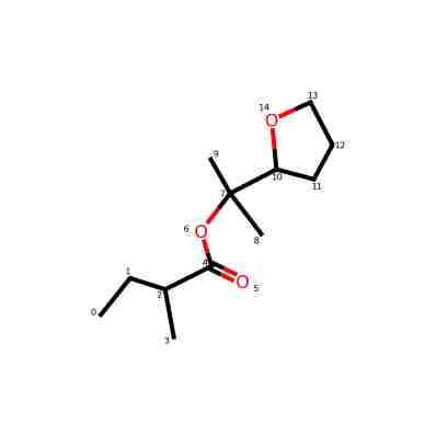 CCC(C)C(=O)OC(C)(C)C1CCCO1